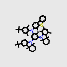 Cc1cc(C)c2c3c1B1c4c(cc(N5c6ccc(C(C)(C)C)cc6C6(C)CCCCC56C)cc4N3C3(C)CCCCC23C)N(c2c(C)cc(C(C)(C)C)cc2C)c2ccc3c(sc4ccccc43)c21